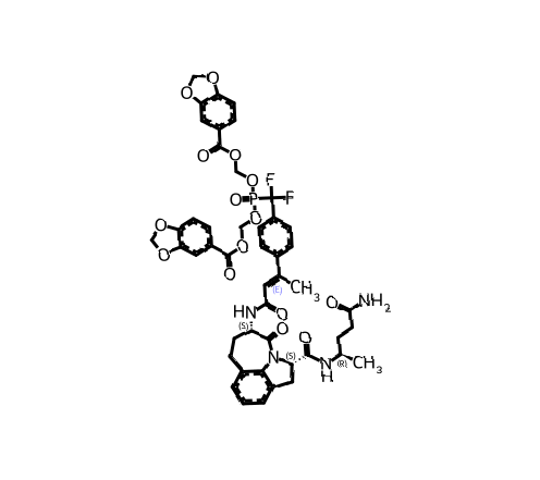 C/C(=C\C(=O)N[C@H]1CCc2cccc3c2N(C1=O)[C@H](C(=O)N[C@H](C)CCC(N)=O)C3)c1ccc(C(F)(F)P(=O)(OCOC(=O)c2ccc3c(c2)OCO3)OCOC(=O)c2ccc3c(c2)OCO3)cc1